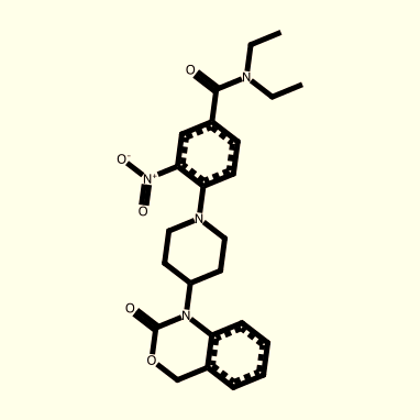 CCN(CC)C(=O)c1ccc(N2CCC(N3C(=O)OCc4ccccc43)CC2)c([N+](=O)[O-])c1